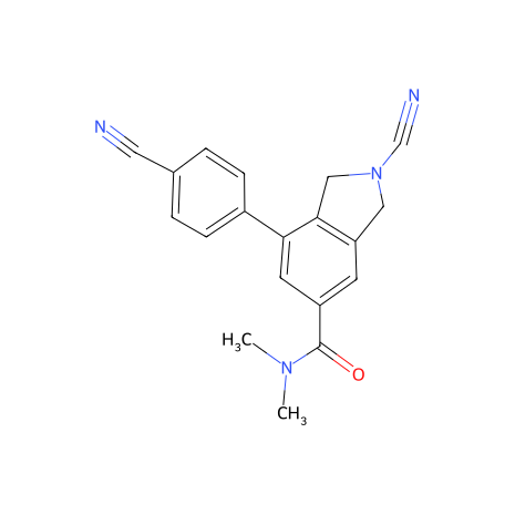 CN(C)C(=O)c1cc2c(c(-c3ccc(C#N)cc3)c1)CN(C#N)C2